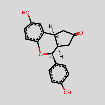 O=C1C[C@@H]2[C@H](C1)c1cc(O)ccc1O[C@@H]2c1ccc(O)cc1